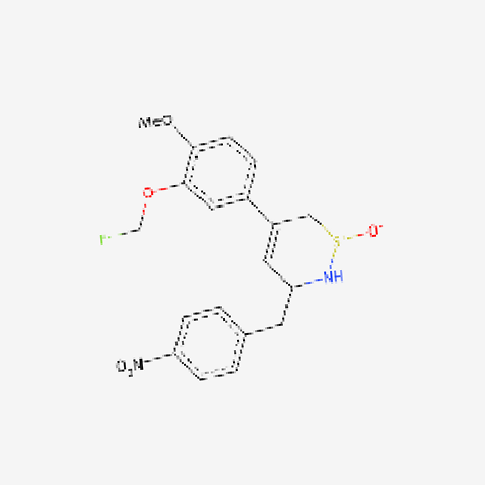 COc1ccc(C2=CC(Cc3ccc([N+](=O)[O-])cc3)N[S+]([O-])C2)cc1OCF